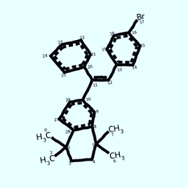 CC1(C)CCC(C)(C)c2cc(C(=Cc3ccc(Br)cc3)c3ccccc3)ccc21